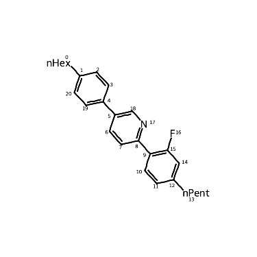 CCCCCCc1ccc(-c2ccc(-c3ccc(CCCCC)cc3F)nc2)cc1